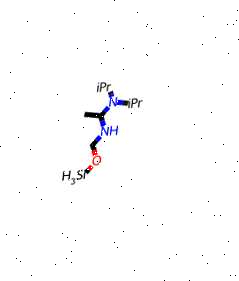 CC(C)N(C(C)C)C(C)NCO[SiH3]